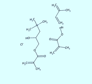 C=C(C)C(=O)OCC(O)C[N+](C)(C)C.C=C(C)C(=O)OCCC.C=CC(=C)C.[Cl-]